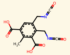 Cc1c(C(=O)O)cc(CN=C=O)c(CN=C=O)c1C(=O)O